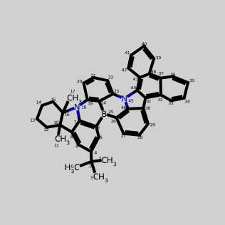 CC(C)(C)c1cc2c3c(c1)C1(C)CCCCC1(C)N3c1cccc3c1B2c1cccc2c4c5ccccc5c5ccccc5c4n-3c12